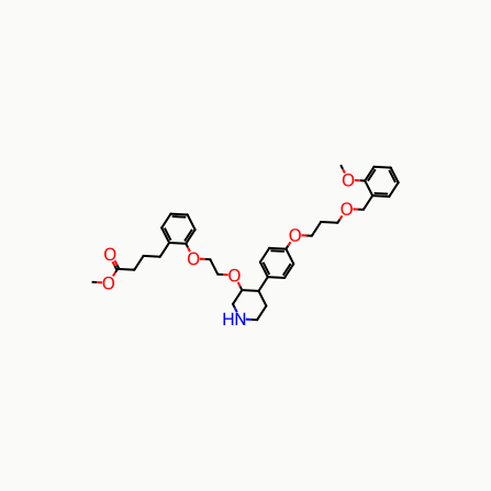 COC(=O)CCCc1ccccc1OCCOC1CNCCC1c1ccc(OCCCOCc2ccccc2OC)cc1